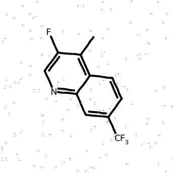 Cc1c(F)cnc2cc(C(F)(F)F)ccc12